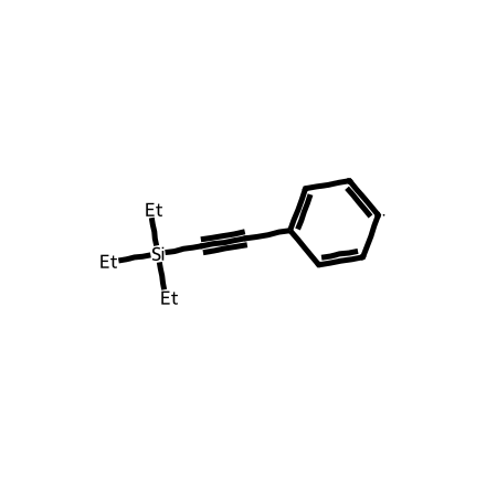 CC[Si](C#Cc1cc[c]cc1)(CC)CC